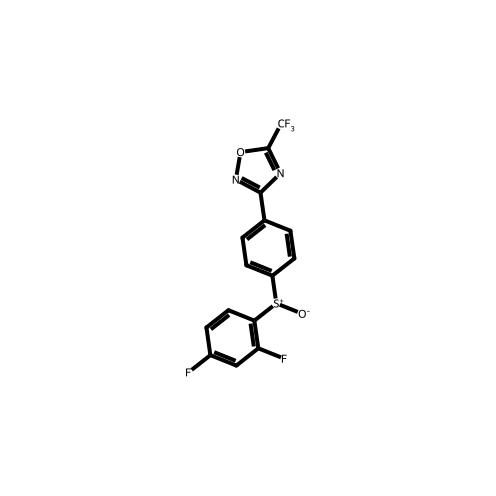 [O-][S+](c1ccc(-c2noc(C(F)(F)F)n2)cc1)c1ccc(F)cc1F